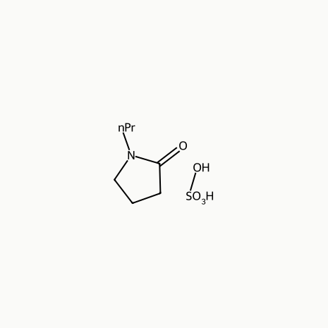 CCCN1CCCC1=O.O=S(=O)(O)O